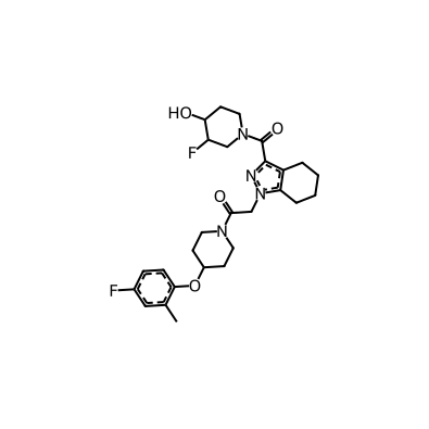 Cc1cc(F)ccc1OC1CCN(C(=O)Cn2nc(C(=O)N3CCC(O)C(F)C3)c3c2CCCC3)CC1